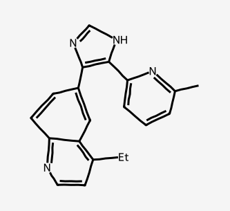 CCc1ccnc2ccc(-c3nc[nH]c3-c3cccc(C)n3)cc12